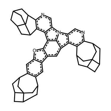 c1c2c(cc3c1oc1c3cc3c4c5c(ncc4n4c6cnc7c(c6c1c34)C1CC3CC(CC7C3)C1)C1CC3CC4CC5CC34C1)C1CC3CC4CC2CC43C1